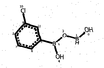 OBOB(O)c1cccc(Cl)c1